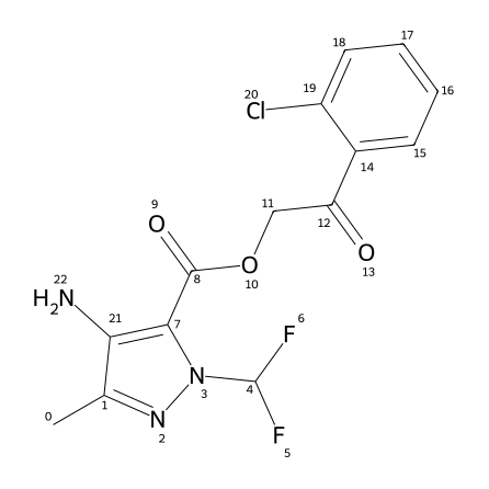 Cc1nn(C(F)F)c(C(=O)OCC(=O)c2ccccc2Cl)c1N